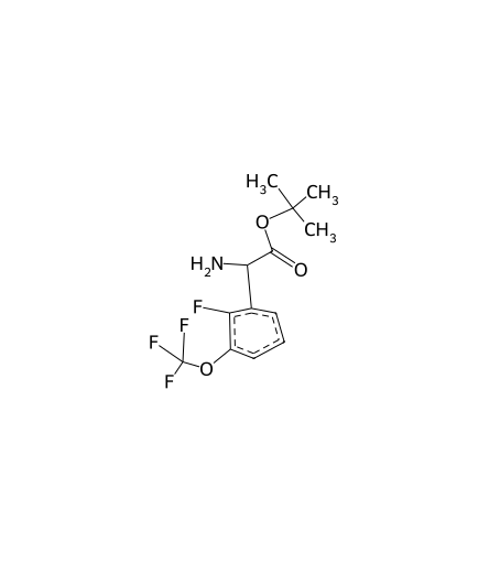 CC(C)(C)OC(=O)C(N)c1cccc(OC(F)(F)F)c1F